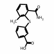 Cc1cccc(C(N)=O)c1Sc1cccc(C(=O)O)c1